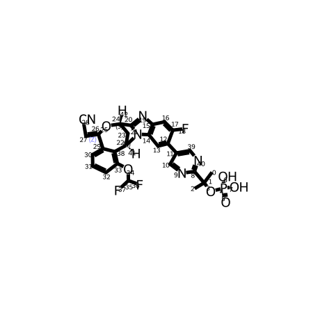 CC(C)(OP(=O)(O)O)c1ncc(-c2cc3c(cc2F)nc2n3[C@@H]3C[C@@H]2O/C(=C\C#N)c2cccc(OC(F)F)c23)cn1